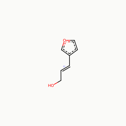 OC/C=C/c1ccoc1